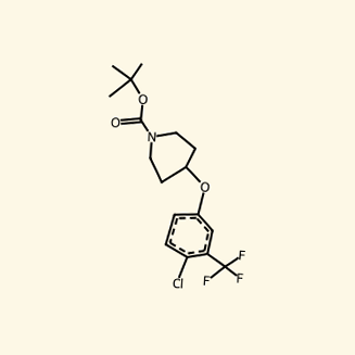 CC(C)(C)OC(=O)N1CCC(Oc2ccc(Cl)c(C(F)(F)F)c2)CC1